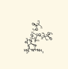 CNc1nc(N)nc2c1ncn2[C@@H]1O[C@H](COC(=O)C(C)C)[C@@H](OCC(C)(C)C(=O)OC)[C@@]1(C)F